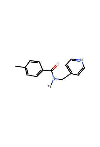 CCN(Cc1ccncc1)C(=O)c1ccc(C)cc1